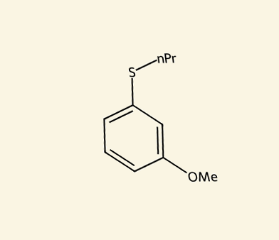 [CH2]Oc1cccc(SCCC)c1